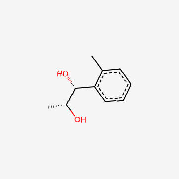 Cc1ccccc1[C@@H](O)[C@@H](C)O